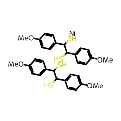 COc1ccc(C(S)C(S)c2ccc(OC)cc2)cc1.COc1ccc(C(S)C(S)c2ccc(OC)cc2)cc1.[Ni]